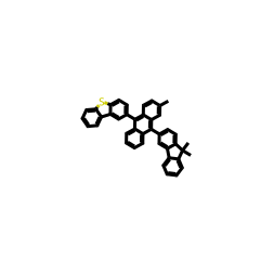 Cc1ccc2c(-c3ccc4sc5ccccc5c4c3)c3ccccc3c(-c3ccc4c(c3)-c3ccccc3C4(C)C)c2c1